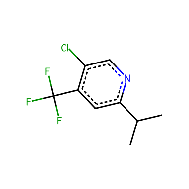 CC(C)c1cc(C(F)(F)F)c(Cl)cn1